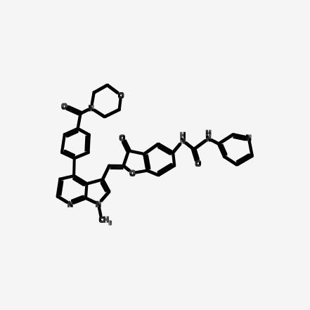 Cn1cc(C=C2Oc3ccc(NC(=O)Nc4cccnc4)cc3C2=O)c2c(-c3ccc(C(=O)N4CCOCC4)cc3)ccnc21